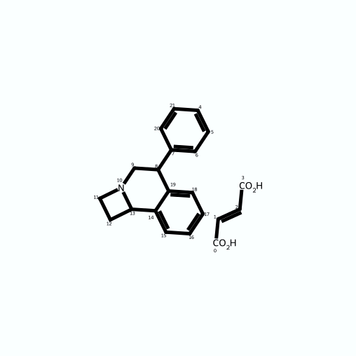 O=C(O)C=CC(=O)O.c1ccc(C2CN3CCC3c3ccccc32)cc1